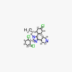 C=CCn1c(-c2c(Cl)cccc2Cl)nc(-c2ccncc2)c1-c1ccc(Cl)cc1